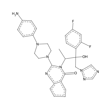 CC(n1c(N2CCN(c3ccc(N)cc3)CC2)nc2ccccc2c1=O)C(O)(Cn1cncn1)c1ccc(F)cc1F